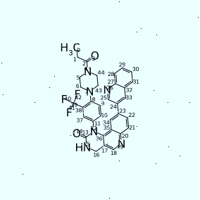 CCC(=O)N1CCN(c2ccc(N3C(=O)NCc4cnc5ccc(-c6cnc7ccccc7c6)cc5c43)cc2C(F)(F)F)CC1